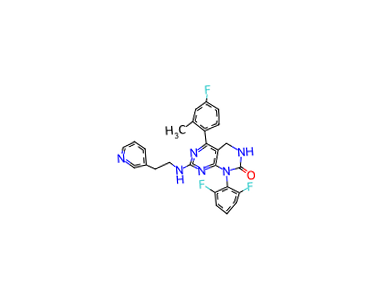 Cc1cc(F)ccc1-c1nc(NCCc2cccnc2)nc2c1CNC(=O)N2c1c(F)cccc1F